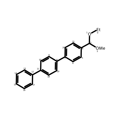 CCOC(OC)c1ccc(-c2ccc(-c3ccccc3)cc2)cc1